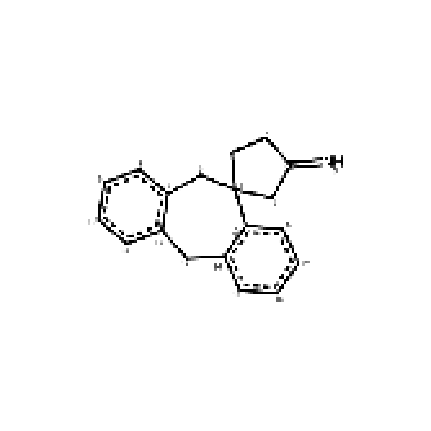 N=C1CCC2(C1)Cc1ccccc1Cc1ccccc12